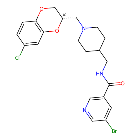 O=C(NCC1CCN(C[C@H]2COc3ccc(Cl)cc3O2)CC1)c1cncc(Br)c1